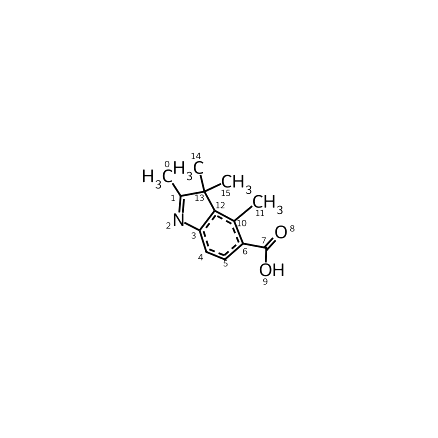 CC1=Nc2ccc(C(=O)O)c(C)c2C1(C)C